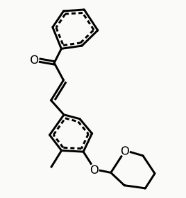 Cc1cc(/C=C/C(=O)c2ccccc2)ccc1OC1CCCCO1